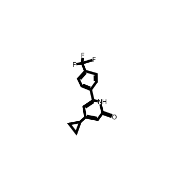 O=c1cc(C2CC2)cc(-c2ccc(C(F)(F)F)cc2)[nH]1